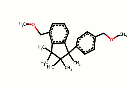 COCc1ccc(C2(C)c3cccc(COC)c3C(C)(C)C2(C)C)cc1